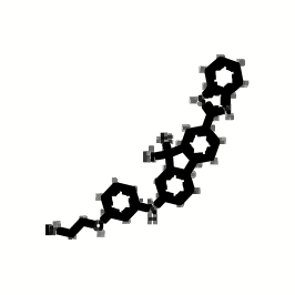 CCC1(CC)c2cc(Nc3cccc(OCCBr)c3)ccc2-c2ccc(-c3nc4ccccc4s3)cc21